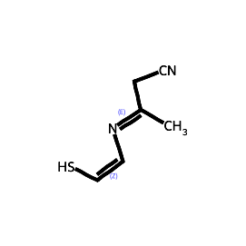 C/C(CC#N)=N\C=C/S